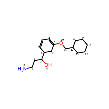 NCCC(O)C1C=CC=C(OCC2CCCCC2)C1